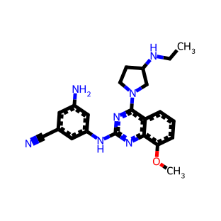 CCNC1CCN(c2nc(Nc3cc(N)cc(C#N)c3)nc3c(OC)cccc23)C1